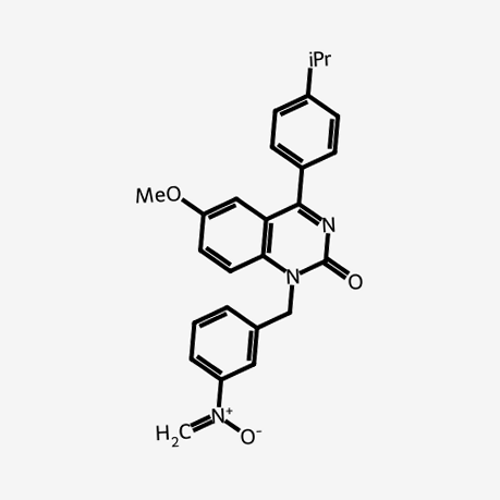 C=[N+]([O-])c1cccc(Cn2c(=O)nc(-c3ccc(C(C)C)cc3)c3cc(OC)ccc32)c1